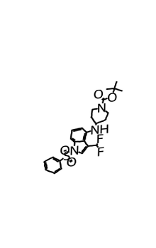 CC(C)(C)OC(=O)N1CCC(Nc2cccc3c2c(C(F)F)cn3S(=O)(=O)c2ccccc2)CC1